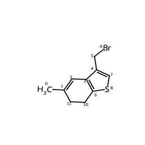 CC1=Cc2c(CBr)csc2CC1